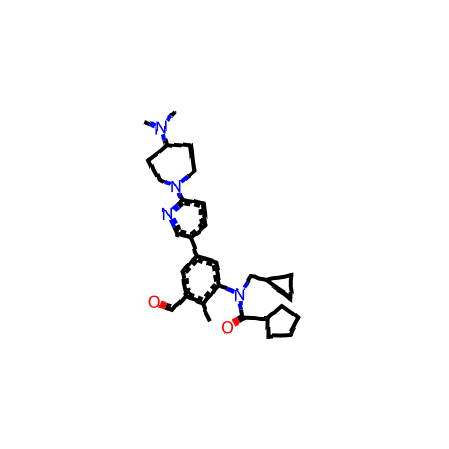 Cc1c(C=O)cc(-c2ccc(N3CCC(N(C)C)CC3)nc2)cc1N(CC1CC1)C(=O)C1CCCC1